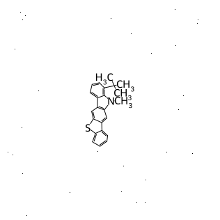 Cn1c2cc3c(cc2c2cccc(C(C)(C)C)c21)sc1ccccc13